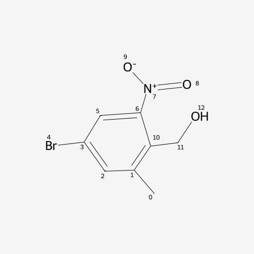 Cc1cc(Br)cc([N+](=O)[O-])c1CO